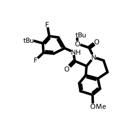 COc1ccc2c(c1)CCN(C(=O)OC(C)(C)C)C2C(=O)Nc1cc(F)c(C(C)(C)C)c(F)c1